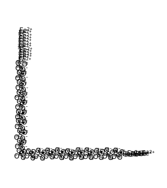 O=S(=O)([O-])[O-].O=S(=O)([O-])[O-].O=S(=O)([O-])[O-].O=S(=O)([O-])[O-].O=S(=O)([O-])[O-].O=S(=O)([O-])[O-].O=S(=O)([O-])[O-].O=S(=O)([O-])[O-].O=S(=O)([O-])[O-].O=S(=O)([O-])[O-].O=S(=O)([O-])[O-].O=S(=O)([O-])[O-].O=S(=O)([O-])[O-].O=S(=O)([O-])[O-].O=S(=O)([O-])[O-].O=S(=O)([O-])[O-].O=S(=O)([O-])[O-].O=S(=O)([O-])[O-].O=S(=O)([O-])[O-].O=S(=O)([O-])[O-].[Fe+2].[Fe+2].[Fe+2].[Fe+2].[Fe+2].[Fe+2].[Fe+2].[Fe+2].[Fe+2].[Fe+2].[Fe+2].[Fe+2].[Fe+2].[Fe+2].[Fe+2].[Fe+2].[Fe+2].[Fe+2].[Fe+2].[Fe+2]